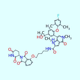 Cc1cc(F)cc(C)c1Oc1ccc(C(C)(C)O)cc1-c1cn(C)c(=O)c2cc(C(=O)NCCCCCOc3cccc4c3C(=O)N(C3CCC(=O)NC3=O)C4=O)[nH]c12